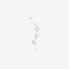 C[C@H](N)CCCc1cc(Cl)c(F)c(-c2cc3cn(-c4ccc([C@@H]5CCC[C@H](CCNC(=N)N)N5)cc4)c(=O)nc3[nH]2)c1